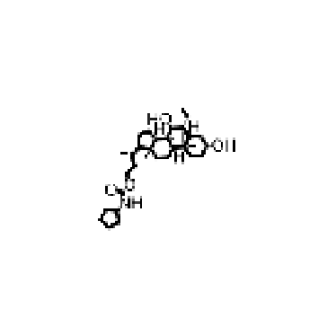 CC[C@H]1[C@@H](O)[C@@H]2[C@H](CC[C@]3(C)[C@@H]([C@H](C)CCOC(=O)NC4CCCC4)CC[C@@H]23)[C@@]2(C)CC[C@@H](O)C[C@@H]12